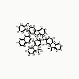 CC1(C)c2ccccc2-c2ccc(N(c3ccc4c(c3)C(C)(C)c3ccccc3-4)c3cccc4c3oc3c(-c5ccc6ccccc6c5)c5c(cc34)oc3ccccc35)cc21